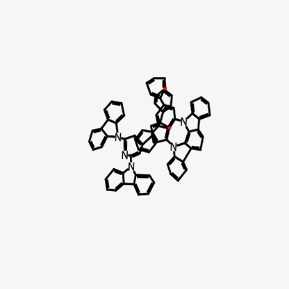 c1ccc(-c2cc(-c3ccccc3)cc(-n3c4ccccc4c4ccc5c6ccccc6n(-c6cc(-c7ccccc7)cc(-c7cc(-n8c9ccccc9c9ccccc98)nc(-n8c9ccccc9c9ccccc98)c7)c6)c5c43)c2)cc1